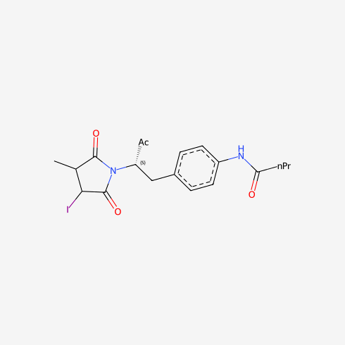 CCCC(=O)Nc1ccc(C[C@@H](C(C)=O)N2C(=O)C(C)C(I)C2=O)cc1